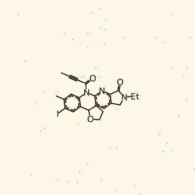 CC#CC(=O)N(c1ccc2c(n1)C(=O)N(CC)C2)c1cc(C)c(I)cc1C1CCCO1